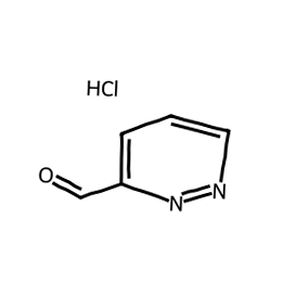 Cl.O=Cc1cccnn1